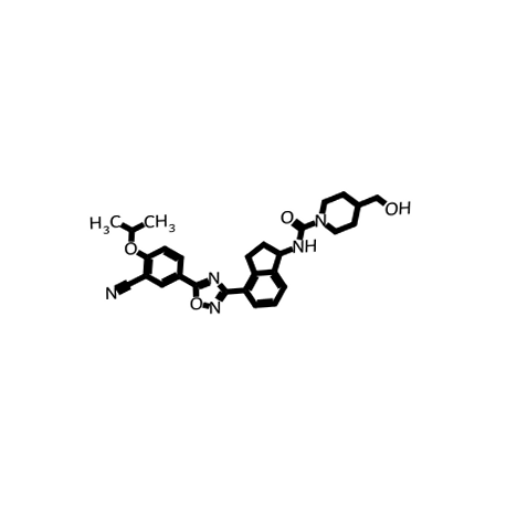 CC(C)Oc1ccc(-c2nc(-c3cccc4c3CCC4NC(=O)N3CCC(CO)CC3)no2)cc1C#N